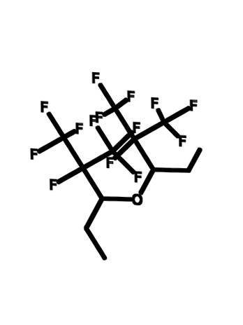 CCC(OC(CC)C(F)(C(F)(F)F)C(F)(F)F)C(F)(C(F)(F)F)C(F)(F)F